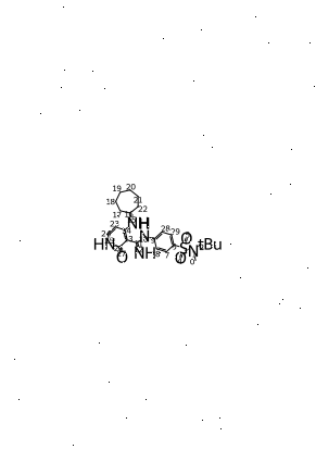 CN(C(C)(C)C)S(=O)(=O)c1ccc(NC(=N)c2c(NC3CCCCCC3)cc[nH]c2=O)cc1